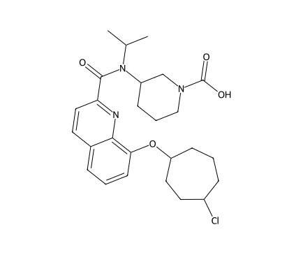 CC(C)N(C(=O)c1ccc2cccc(OC3CCCC(Cl)CC3)c2n1)C1CCCN(C(=O)O)C1